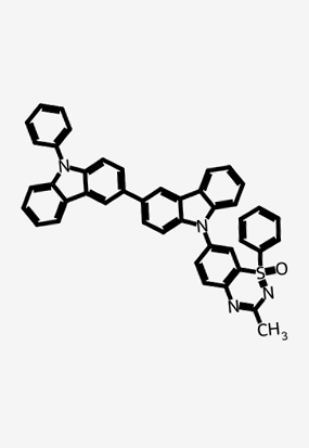 CC1=Nc2ccc(-n3c4ccccc4c4cc(-c5ccc6c(c5)c5ccccc5n6-c5ccccc5)ccc43)cc2S(=O)(c2ccccc2)=N1